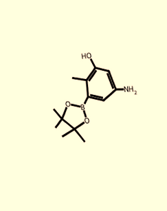 Cc1c(O)cc(N)cc1B1OC(C)(C)C(C)(C)O1